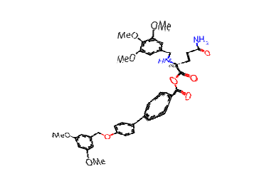 COc1cc(COc2ccc(-c3ccc(C(=O)OC(=O)[C@H](CCC(N)=O)NCc4cc(OC)c(OC)c(OC)c4)cc3)cc2)cc(OC)c1